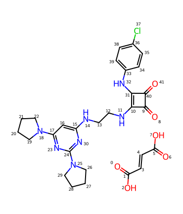 O=C(O)C=CC(=O)O.O=c1c(NCCNc2cc(N3CCCC3)nc(N3CCCC3)n2)c(Nc2ccc(Cl)cc2)c1=O